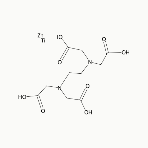 O=C(O)CN(CCN(CC(=O)O)CC(=O)O)CC(=O)O.[Ti].[Zn]